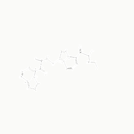 CCNC(C)C(=O)c1cccc2c(CNC(C)C(=O)c3cccc4cccn34)ccn12